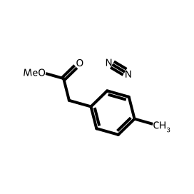 COC(=O)Cc1ccc(C)cc1.N#N